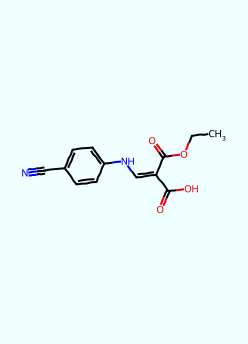 CCOC(=O)/C(=C\Nc1ccc(C#N)cc1)C(=O)O